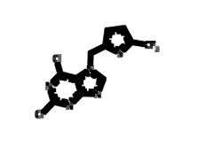 FC(F)(F)c1ccc(Cn2cnc3nc(Cl)nc(Cl)c32)s1